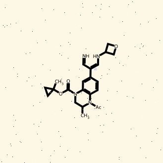 CC(=O)N1c2ccc(/C(C=N)=C/NC3COC3)cc2N(C(=O)OC2(C)CC2)CC1C